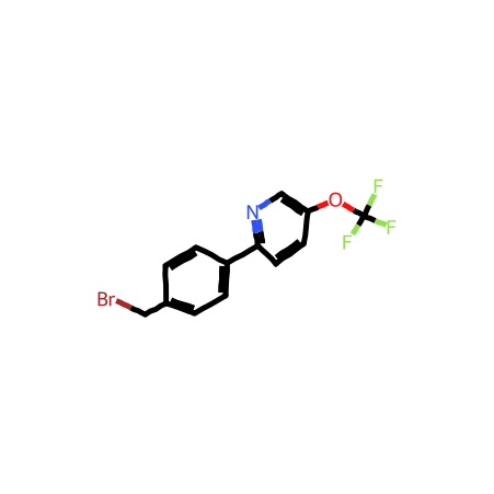 FC(F)(F)Oc1ccc(-c2ccc(CBr)cc2)nc1